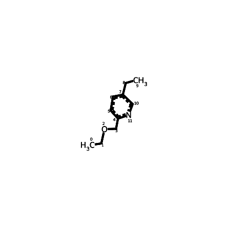 CCOCc1ccc(CC)cn1